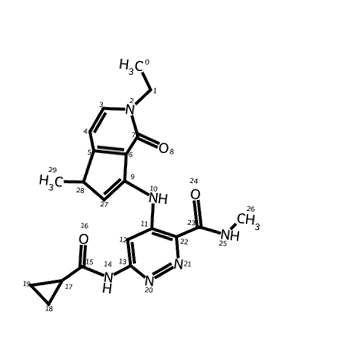 CCn1ccc2c(c1=O)C(Nc1cc(NC(=O)C3CC3)nnc1C(=O)NC)=CC2C